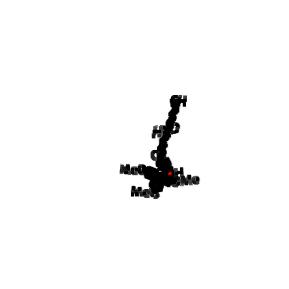 C#CCCCCC(=O)NCCCCCC(=O)N1CCC(CO)(COC(c2ccc(OC)cc2)(c2ccc(OC)cc2)c2ccc(OC)cc2)CC1